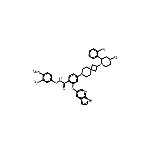 CCN1CCN(C2CC3(CCN(c4ccc(C(=O)NSc5ccc(NC)c([N+](=O)[O-])c5)c(Oc5cnc6[nH]ccc6c5)c4)CC3)C2)C(c2ccccc2C(C)C)C1